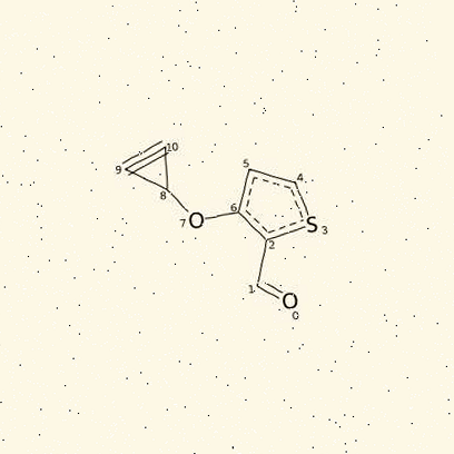 O=Cc1sccc1OC1C#C1